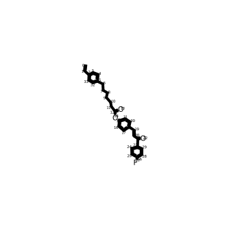 C=Cc1ccc(CCCCCCC(=O)Oc2ccc(C=CC(=O)c3ccc(F)cc3)cc2)cc1